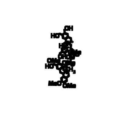 COc1cc2c(cc1OC)C(Cc1cc(CO)c(OC)c(OC)c1)[N+](C)(CCCOC(=O)CCC(=O)OCCC[N+]1(C)CCc3cc(CO)c(CO)cc3C1Cc1cc(CO)c(CO)c(OC)c1)CC2